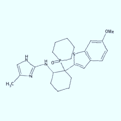 COc1ccc2cc(C3(P4(=O)CCCCC4)CCCCC3Nc3nc(C)c[nH]3)sc2c1